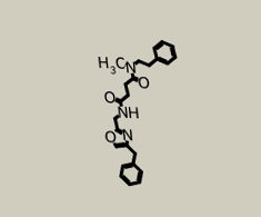 CN(CCc1ccccc1)C(=O)CCC(=O)NCc1nc(Cc2ccccc2)co1